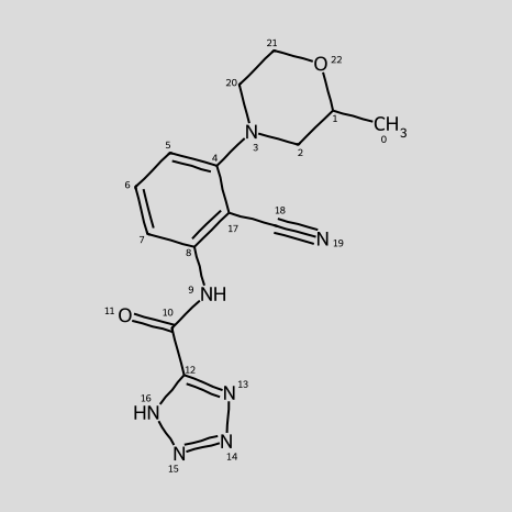 CC1CN(c2cccc(NC(=O)c3nnn[nH]3)c2C#N)CCO1